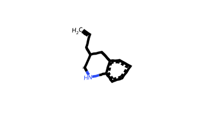 C=CCC1[C]Nc2ccccc2C1